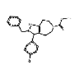 CC(C)(C)OC(=O)N1CCC2=C(CC1)C(c1ccc(Cl)cc1)N(Cc1ccccn1)N2